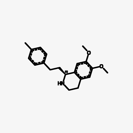 COc1cc2c(cc1OC)[C@H](CCc1ccc(C)cc1)NCC2